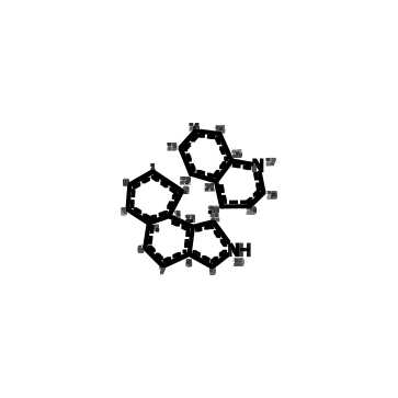 c1ccc2c(c1)ccc1c[nH]cc12.c1ccc2ncccc2c1